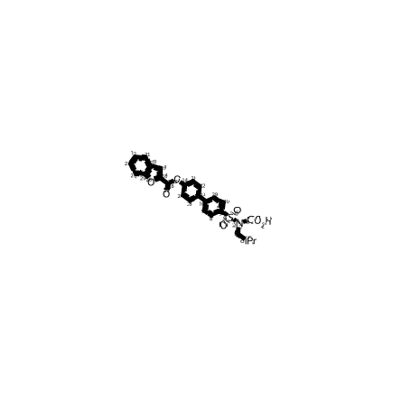 CC(C)CN(C(=O)O)S(=O)(=O)c1ccc(-c2ccc(OC(=O)c3cc4ccccc4o3)cc2)cc1